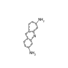 Nc1ccc2cc3ccc(N)cc3nc2c1